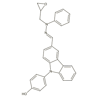 Oc1ccc(-n2c3ccccc3c3cc(/C=N/N(CC4CO4)c4ccccc4)ccc32)cc1